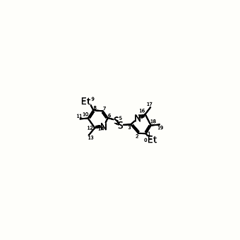 CCc1cc(SSc2cc(CC)c(C)c(C)n2)nc(C)c1C